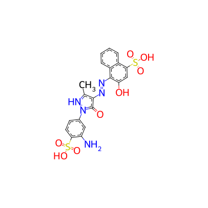 Cc1[nH]n(-c2ccc(S(=O)(=O)O)c(N)c2)c(=O)c1N=Nc1c(O)cc(S(=O)(=O)O)c2ccccc12